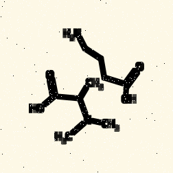 CC(C(=O)O)N(C)C.NCCCC(=O)O